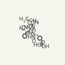 CC(C)C[C@@H](C(=O)O)N(C(=O)[C@H](Cc1ccccc1)NC(=O)[C@H](Cc1ccc(OB(O)O)cc1)NC=O)N1C=CN=CC1